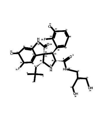 CC(C)(C)C[C@H]1N[C@@H](C(=O)NCC(CO)CO)[C@H](c2cccc(Cl)c2F)[C@@]12C(=O)NC1=CC(Cl)C(F)C=C12